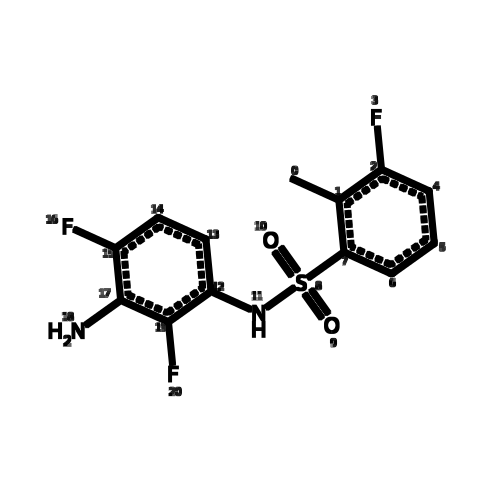 Cc1c(F)cccc1S(=O)(=O)Nc1ccc(F)c(N)c1F